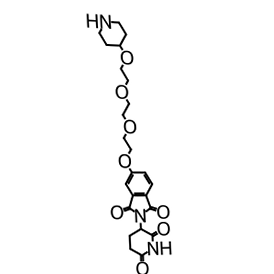 O=C1CCC(N2C(=O)c3ccc(OCCOCCOCCOC4CCNCC4)cc3C2=O)C(=O)N1